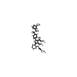 CC#CCN1CCCCC1c1nc(-c2ccc(C(=O)Nc3cc(C#N)ccn3)cc2)c(C(N)=O)n1N